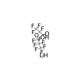 O=C(O)C(F)(OC(F)(F)C(F)(F)C(F)(F)F)C(F)(F)F.[LiH]